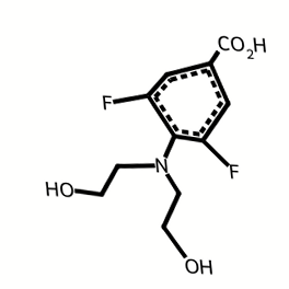 O=C(O)c1cc(F)c(N(CCO)CCO)c(F)c1